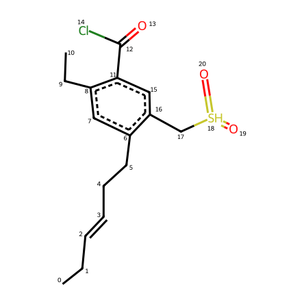 CCC=CCCc1cc(CC)c(C(=O)Cl)cc1C[SH](=O)=O